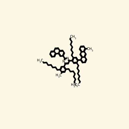 CCCCCCCCc1cc(-c2cc(-c3cc(CCCCCCCC)c(-c4cccc5cc6c(C)cccc6cc45)cc3CCCCCCCC)nc(-c3ccc4ccc5ccccc5c4c3)n2)c(CCCCCCCC)cc1C